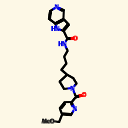 COCc1ccc(C(=O)N2CCC(CCCCNC(=O)c3cc4cnccc4[nH]3)CC2)nc1